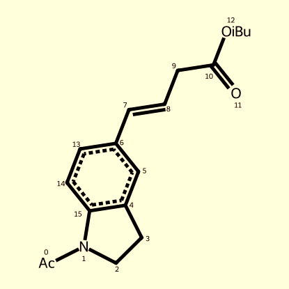 CC(=O)N1CCc2cc(C=CCC(=O)OCC(C)C)ccc21